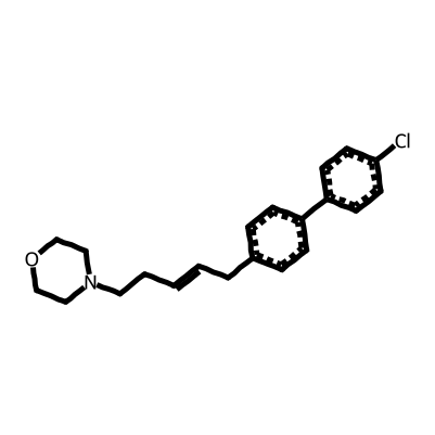 Clc1ccc(-c2ccc(CC=CCCN3CCOCC3)cc2)cc1